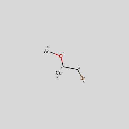 CC(=O)OCCBr.[Cu]